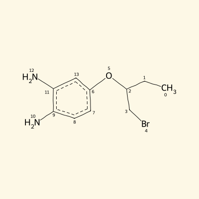 CCC(CBr)Oc1ccc(N)c(N)c1